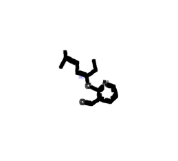 CC/C(=C\C=C(C)C)Oc1ncccc1C=O